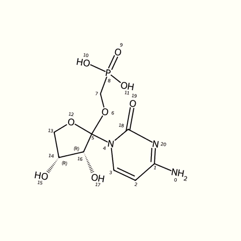 Nc1ccn(C2(OCP(=O)(O)O)OC[C@@H](O)[C@H]2O)c(=O)n1